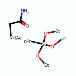 CC(=O)NCC(N)=O.CCC[Si](OCC)(OCC)OCC